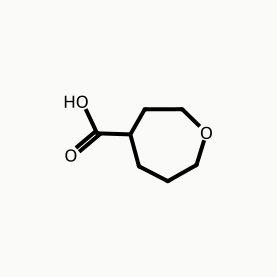 O=C(O)C1CCCOCC1